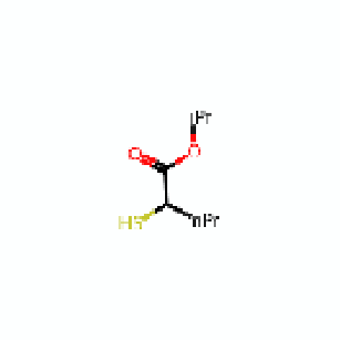 CCCC(S)C(=O)OC(C)C